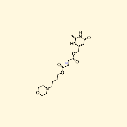 C=C1NC(=O)C=C(COC(=O)/C=C/C(=O)OCCCCN2CCOCC2)N1